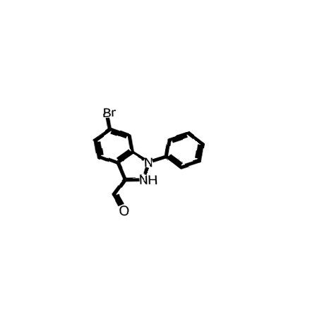 O=CC1NN(c2ccccc2)c2cc(Br)ccc21